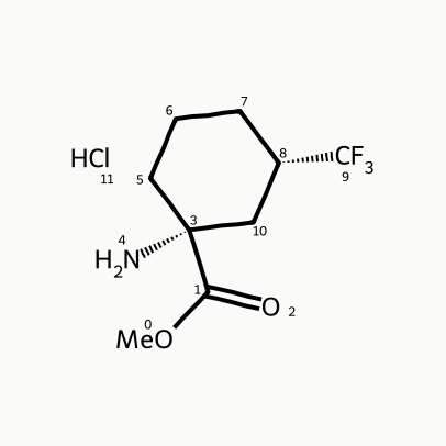 COC(=O)[C@@]1(N)CCC[C@H](C(F)(F)F)C1.Cl